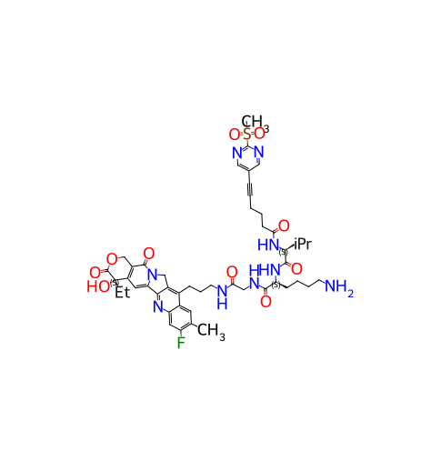 CC[C@@]1(O)C(=O)OCc2c1cc1n(c2=O)Cc2c-1nc1cc(F)c(C)cc1c2CCCNC(=O)CNC(=O)[C@H](CCCCN)NC(=O)[C@@H](NC(=O)CCCC#Cc1cnc(S(C)(=O)=O)nc1)C(C)C